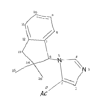 CC(=O)c1cncn1C1c2ccccc2CC1(C)C